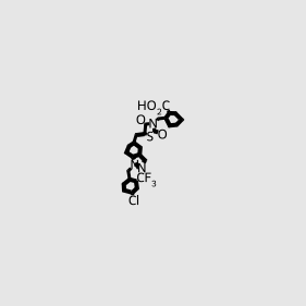 O=C(O)c1ccccc1CN1C(=O)SC(=Cc2ccc3c(cnn3Cc3ccc(Cl)cc3C(F)(F)F)c2)C1=O